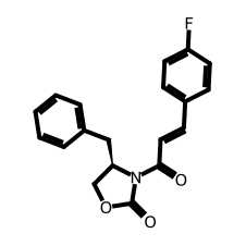 O=C(/C=C/c1ccc(F)cc1)N1C(=O)OC[C@H]1Cc1ccccc1